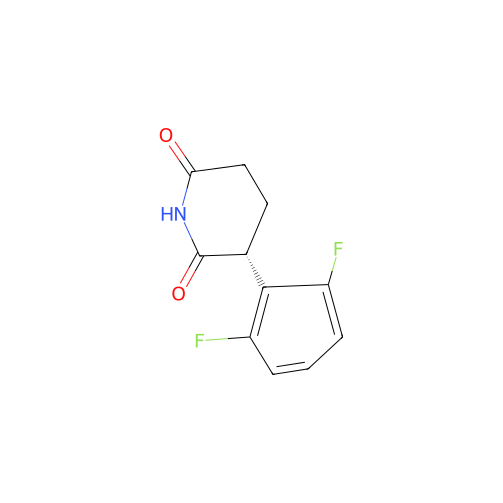 O=C1CC[C@H](c2c(F)cccc2F)C(=O)N1